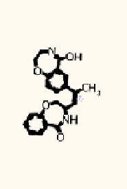 C/C(=C/C1COc2ccccc2C(=O)N1)c1ccc2c(c1)C(O)=NCCO2